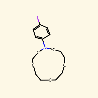 Ic1ccc(N2CCCCCCCCCCCC2)cc1